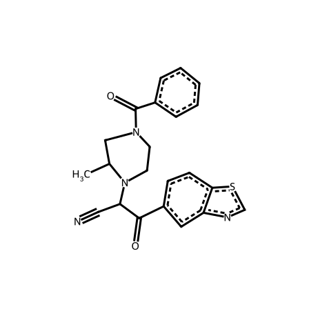 CC1CN(C(=O)c2ccccc2)CCN1C(C#N)C(=O)c1ccc2scnc2c1